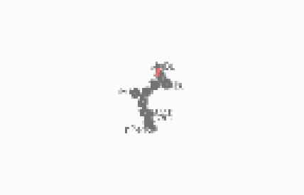 CCCCCCCCC1(CCCCCCCC)c2cc(-c3ccc(N(c4ccc(-c5ccc(N(c6ccc(C(C)CC)cc6)c6ccc(C(C)(C)CCCC)cc6)cc5)cc4)c4ccc(C(C)CC)cc4)cc3)ccc2-c2ccc(C(C)(C)CCCCC)cc21